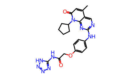 Cc1cc(=O)n(C2CCCC2)c2nc(Nc3ccc(OCC(=O)Nc4nnn[nH]4)cc3)ncc12